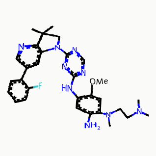 COc1cc(N(C)CCN(C)C)c(N)cc1Nc1ncnc(N2CC(C)(C)c3ncc(-c4ccccc4F)cc32)n1